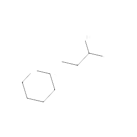 CC(C)CC[C@@H]1CCCCO1